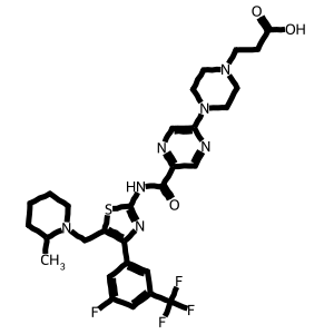 CC1CCCCN1Cc1sc(NC(=O)c2cnc(N3CCN(CCC(=O)O)CC3)cn2)nc1-c1cc(F)cc(C(F)(F)F)c1